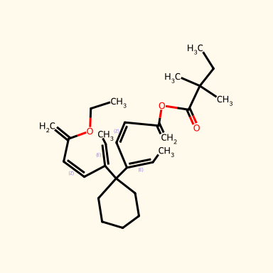 C=C(/C=C\C(=C/C)C1(C(/C=C\C(=C)OC(=O)C(C)(C)CC)=C/C)CCCCC1)OCC